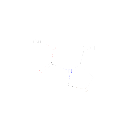 CCC(C)OC(=O)N1CSCC1C(=O)O